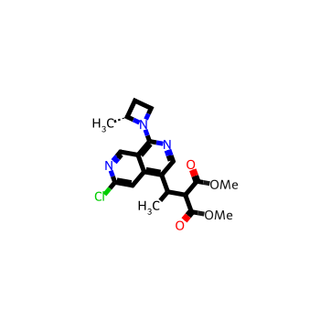 COC(=O)C(C(=O)OC)C(C)c1cnc(N2CC[C@H]2C)c2cnc(Cl)cc12